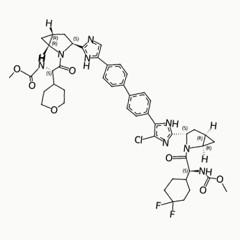 COC(=O)N[C@H](C(=O)N1[C@@H]2C[C@@H]2C[C@H]1c1ncc(-c2ccc(-c3ccc(-c4[nH]c([C@@H]5C[C@H]6C[C@H]6N5C(=O)[C@@H](NC(=O)OC)C5CCC(F)(F)CC5)nc4Cl)cc3)cc2)[nH]1)C1CCOCC1